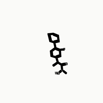 CC(C(=O)N(C)O)c1ccc(-c2ccccc2)c(F)c1